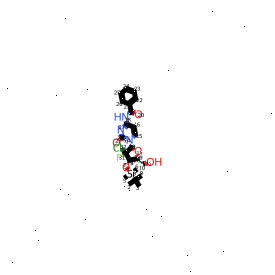 CC(C)(C)[Si](C)(C)O[C@@H]1[C@@H](CO)O[C@@H](n2ccc(NC(=O)c3ccccc3)nc2=O)[C@@]1(F)Cl